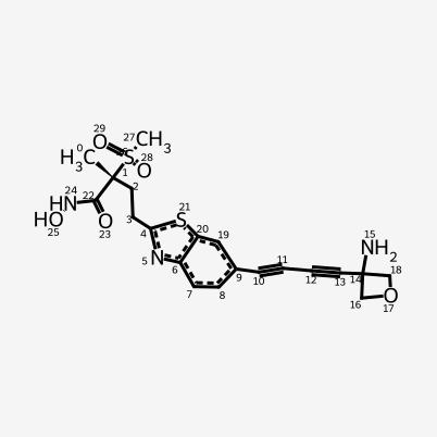 C[C@@](CCc1nc2ccc(C#CC#CC3(N)COC3)cc2s1)(C(=O)NO)S(C)(=O)=O